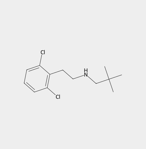 CC(C)(C)CNCCc1c(Cl)cccc1Cl